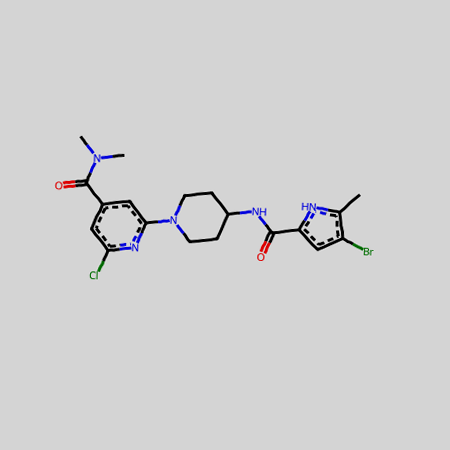 Cc1[nH]c(C(=O)NC2CCN(c3cc(C(=O)N(C)C)cc(Cl)n3)CC2)cc1Br